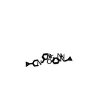 Brc1c(Oc2ncccc2CN2CCC(C3CC3)CC2)ccc2c1nnn2CC1CC1